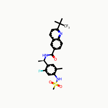 Cc1cc([C@@H](C)NC(=O)c2ccc3nc(C(C)(C)C(F)(F)F)ccc3c2)c(F)cc1NS(C)(=O)=O